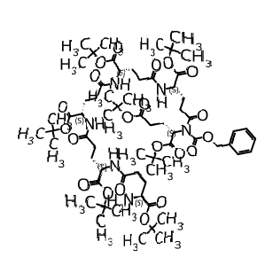 CC(C)(C)OC(=O)CC[C@@H](C(=O)OC(C)(C)C)N(C(=O)CC[C@H](NC(=O)CC[C@H](NC(=O)CC[C@H](NC(=O)CC[C@H](NC(=O)CC[C@H](N)C(=O)OC(C)(C)C)C(=O)OC(C)(C)C)C(=O)OC(C)(C)C)C(=O)OC(C)(C)C)C(=O)OC(C)(C)C)C(=O)OCc1ccccc1